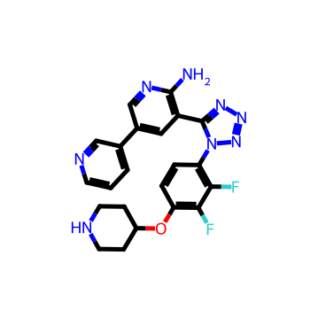 Nc1ncc(-c2cccnc2)cc1-c1nnnn1-c1ccc(OC2CCNCC2)c(F)c1F